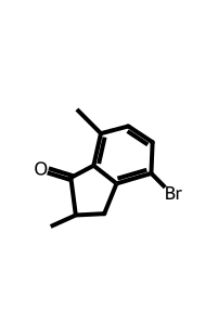 Cc1ccc(Br)c2c1C(=O)C(C)C2